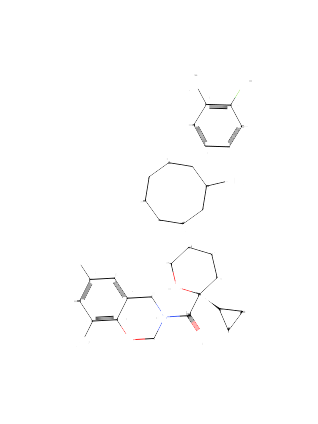 CC1CC([C@@H]2CC[C@@](C(=O)N3COc4c(cc(C(F)(F)F)cc4C(F)(F)F)C3)(C3CC3)OC2)CCCC[C@@H]1c1ccc(F)c(C(=O)O)c1